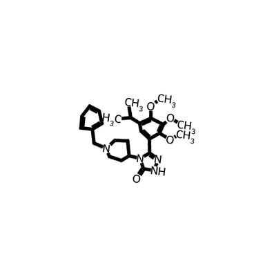 COc1c(-c2n[nH]c(=O)n2C2CCN(Cc3ccccc3)CC2)cc(C(C)C)c(OC)c1OC